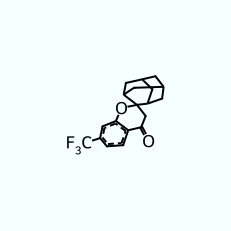 O=C1CC2(Oc3cc(C(F)(F)F)ccc31)C1CC3CC(C1)CC2C3